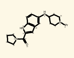 CC(C)N1CCC(Nc2ccc3[nH]c(C(=O)N4CCCC4)cc3c2)CC1